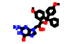 COc1ccc(C(OCC(O)Cn2cnc3c(=O)[nH]c(N)nc32)(c2ccccc2)c2ccc(OC)cc2)cc1